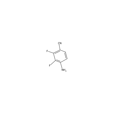 N#Cc1ccc(N)c(F)c1F